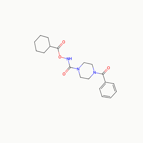 O=C(ONC(=O)N1CCN(C(=O)c2ccccc2)CC1)C1CCCCC1